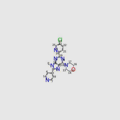 Cn1c(-c2ccncc2)nc2c(N3CCOCC3)nc(-c3ccc(Cl)cn3)nc21